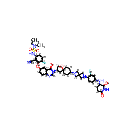 CCN(C)S(=O)(=O)Nc1ccc(F)c(Oc2ccc3ncn([C@H]4COC5(CCC(N6CC7(CN(c8ccc(NC9CCC(=O)NC9=O)cc8F)C7)C6)CC5)C4)c(=O)c3c2)c1C#N